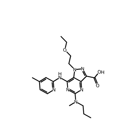 CCCN(C)c1nc(Nc2cc(C)ccn2)c2c(n1)c(C(=O)O)nn2CCOCC